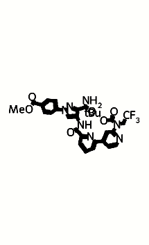 COC(=O)c1ccc(-n2cc(NC(=O)c3cccc(-c4ccnc(N(CC(F)(F)F)C(=O)OC(C)(C)C)c4)n3)c(C(N)=O)n2)cc1